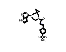 NS(=O)(=O)c1ccc(/C=C/C(=O)N2CCN(c3ncnc4[nH]ccc34)CC3(CC3)C2)cc1